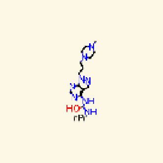 CCCNC(O)Nc1ncnc2c1cnn2CCCN1CCN(C)CC1